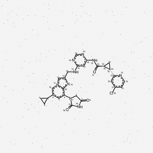 O=C1CN(c2cc(C3CC3)cn3cc(CNc4cc(NC(=O)[C@H]5C[C@@H]5c5cc(Cl)ccn5)ncn4)nc23)C(=O)N1